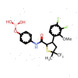 COc1c(C2CC(C)(C(F)(F)F)SC2C(=O)Nc2ccc(OB(O)O)cc2)ccc(F)c1F